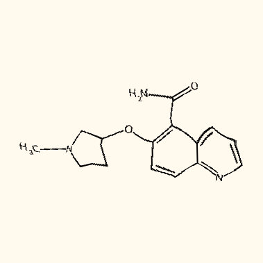 CN1CCC(Oc2ccc3ncccc3c2C(N)=O)C1